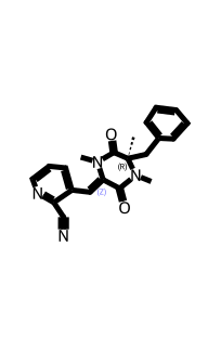 CN1C(=O)[C@@](C)(Cc2ccccc2)N(C)C(=O)/C1=C/c1cccnc1C#N